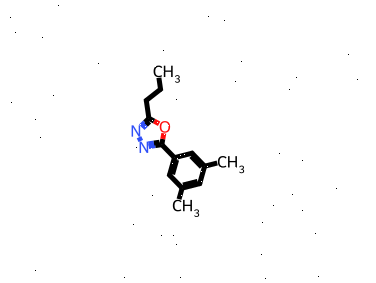 CCCc1nnc(-c2cc(C)cc(C)c2)o1